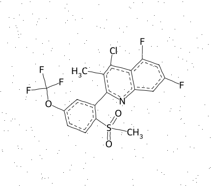 Cc1c(-c2cc(OC(F)(F)F)ccc2S(C)(=O)=O)nc2cc(F)cc(F)c2c1Cl